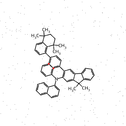 CC1(C)CCC(C)(C)c2c(-c3ccc(-c4cc5c(cc4N(c4ccccc4)c4cccc6ccccc46)C(C)(C)c4ccccc4-5)cc3)cccc21